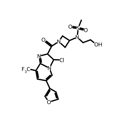 CS(=O)(=O)N(CCO)C1CN(C(=O)C2N=C3C(C(F)(F)F)=CC(c4ccoc4)=CN3C2Cl)C1